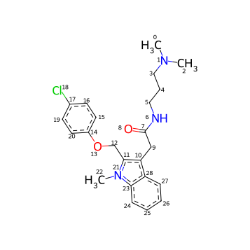 CN(C)CCCNC(=O)Cc1c(COc2ccc(Cl)cc2)n(C)c2ccccc12